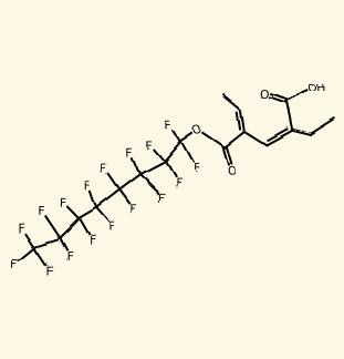 CC=C(C=C(CC)C(=O)O)C(=O)OC(F)(F)C(F)(F)C(F)(F)C(F)(F)C(F)(F)C(F)(F)C(F)(F)C(F)(F)F